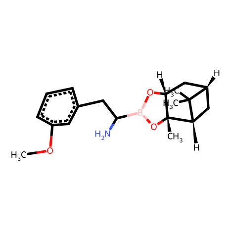 COc1cccc(CC(N)B2O[C@@H]3C[C@@H]4C[C@@H](C4(C)C)[C@]3(C)O2)c1